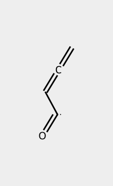 C=C=C[C]=O